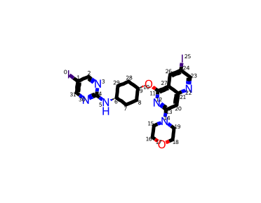 Ic1cnc(N[C@H]2CC[C@@H](Oc3nc(N4CCOCC4)cc4ncc(I)cc34)CC2)nc1